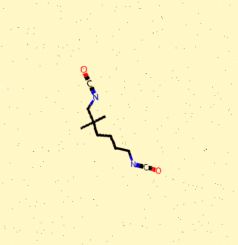 CC(C)(CCCCN=C=O)CN=C=O